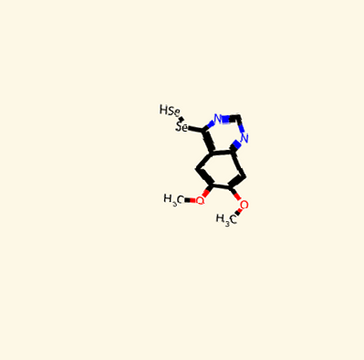 COc1cc2ncnc([Se][SeH])c2cc1OC